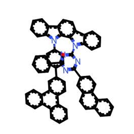 c1ccc(-c2nc(-c3ccc4c(ccc5ccccc54)c3)nc(-n3c4ccccc4c4ccc5c6ccccc6n(-c6ccc(-c7ccc8c9ccccc9c9ccccc9c8c7)cc6)c5c43)n2)cc1